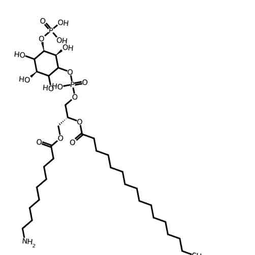 CCCCCCCCCCCCCCCC(=O)O[C@H](COC(=O)CCCCCCCCN)COP(=O)(O)OC1C(O)[C@@H](O)C(O)[C@@H](OP(=O)(O)O)[C@H]1O